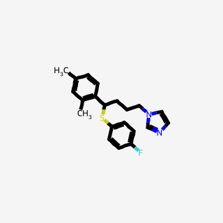 Cc1ccc(C(CCCn2ccnc2)Sc2ccc(F)cc2)c(C)c1